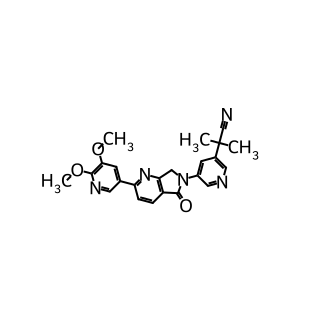 COc1cc(-c2ccc3c(n2)CN(c2cncc(C(C)(C)C#N)c2)C3=O)cnc1OC